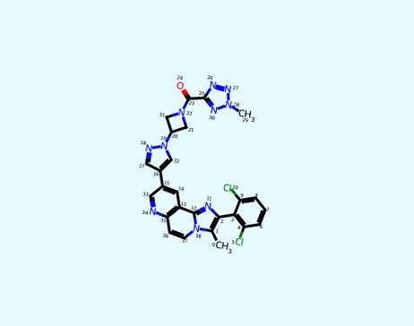 Cc1c(-c2c(Cl)cccc2Cl)nc2c3cc(-c4cnn(C5CN(C(=O)c6nnn(C)n6)C5)c4)cnc3ccn12